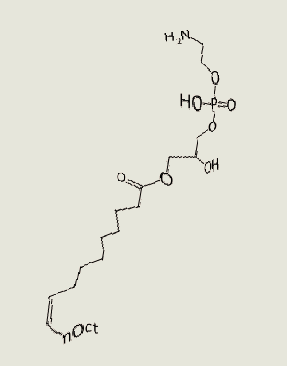 CCCCCCCC/C=C\CCCCCCCC(=O)OCC(O)COP(=O)(O)OCCN